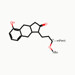 CCCCC[C@@H](CCC1C(=O)CC2Cc3c(O)cccc3CC21)OCCCC